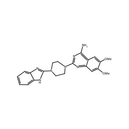 COc1cc2nc(N3CCN(c4nc5ccccc5[nH]4)CC3)nc(N)c2cc1OC